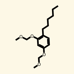 CCCCCCc1ccc(OCOC)cc1OCOC